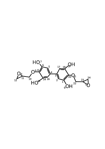 Oc1cc(-c2cc(O)c(OCC3CO3)c(O)c2)cc(O)c1OCC1CO1